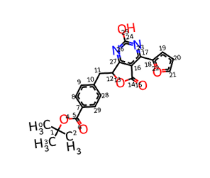 CC(C)(C)OC(=O)c1ccc(CC2OC(=O)c3c(-c4ccco4)nc(O)nc32)cc1